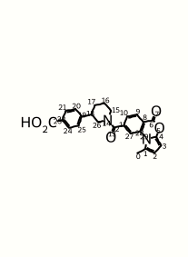 Cc1ccc2oc(=O)c3ccc(C(=O)N4CCCC(c5ccc(C(=O)O)cc5)C4)cc3n12